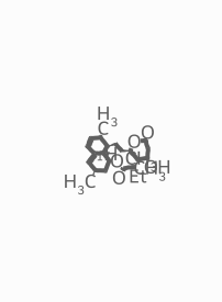 CCC(C)(C)C(=O)[17O][C@@H]1C[C@H](C)C=C2C=C[C@@H](C)[C@@H](CC[C@@H]3C[C@H](O)CC(=O)O3)[C@@H]21